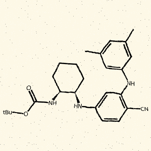 Cc1cc(C)cc(Nc2cc(N[C@@H]3CCCC[C@@H]3NC(=O)OC(C)(C)C)ccc2C#N)c1